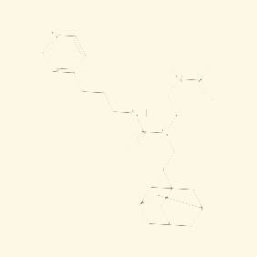 CC(=O)N(C)CCN(CCC12CC3CC(CC(C3)C1)C2)C(=O)NCCCc1ccncc1